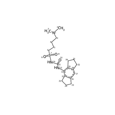 CN(C)CCCCS(=O)(=O)NC(=O)Nc1c2c(cc3c1CCC3)CCC2